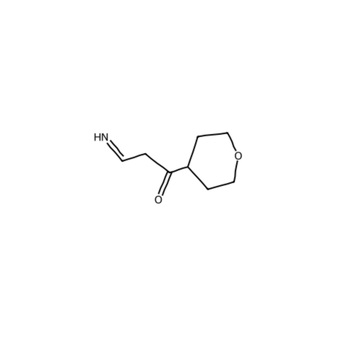 N=CCC(=O)C1CCOCC1